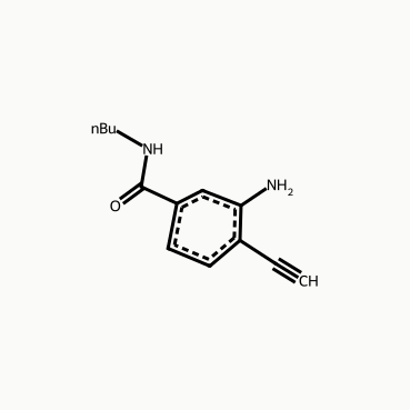 C#Cc1ccc(C(=O)NCCCC)cc1N